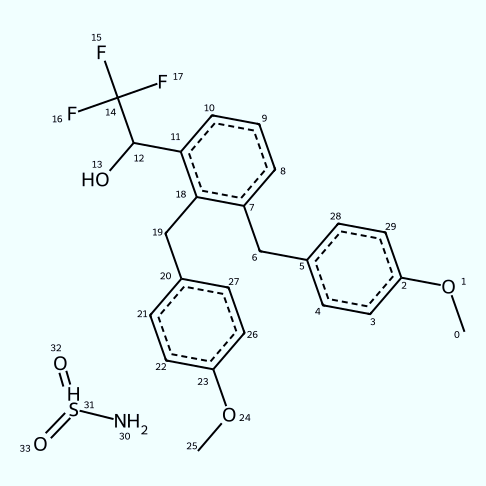 COc1ccc(Cc2cccc(C(O)C(F)(F)F)c2Cc2ccc(OC)cc2)cc1.N[SH](=O)=O